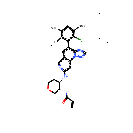 C=CC(=O)N[C@@H]1COCC[C@@H]1Nc1cc2c(cn1)cc(-c1c(Cl)c(OC)cc(OC)c1CC)c1ncnn12